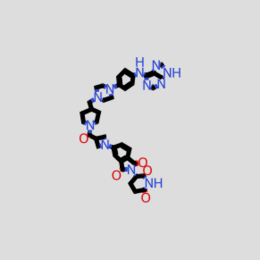 O=C1CCC(N2C(=O)c3ccc(N4CC(C(=O)N5CCC(CN6CCN(c7ccc(Nc8ncnc9[nH]cnc89)cc7)CC6)CC5)C4)cc3C2=O)C(=O)N1